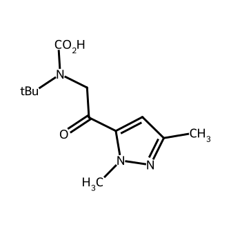 Cc1cc(C(=O)CN(C(=O)O)C(C)(C)C)n(C)n1